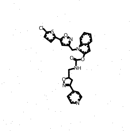 O=C(NCC1CC(c2ccncc2)=NO1)Oc1cc2ccccc2n1Cc1cc(-c2ccc(Cl)s2)on1